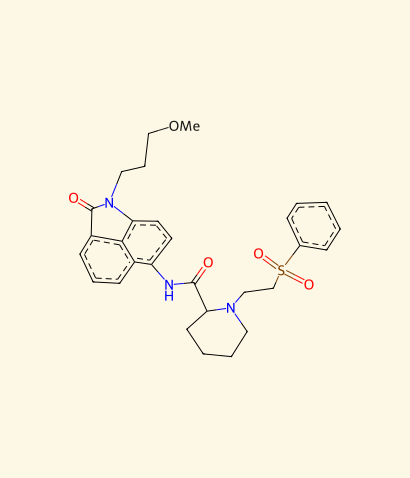 COCCCN1C(=O)c2cccc3c(NC(=O)C4CCCCN4CCS(=O)(=O)c4ccccc4)ccc1c23